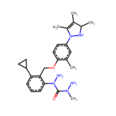 CC1=C(C)N(c2ccc(OCc3c(C4CC4)cccc3N(N)C(=O)N(C)N)c(C)c2)NC1C